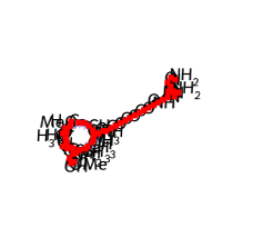 CO[C@H]1C[C@@H]2CC[C@@H](C)[C@@](O)(O2)C(=O)C(=O)N2CCCC[C@H]2C(=O)O[C@H]([C@H](N)C[C@@H]2CC[C@@H](O)[C@H](OC)C2)C[C@@H](O)[C@H](C)/C=C(\C)[C@@H](O)[C@@H](O)/C(=N/OCC(=O)NCCOCCOCCOCCOCCOCCOCCC(=O)NCCCCn2nc(-c3ccc4oc(N)nc4c3)c3c(N)ncnc32)[C@H](C)C[C@H](C)/C=C/C=C/C=C/1C